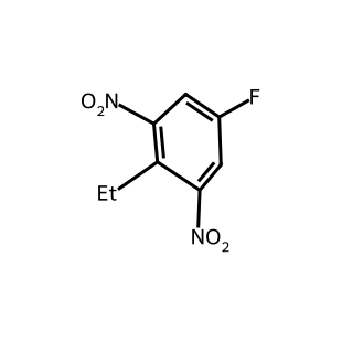 CCc1c([N+](=O)[O-])cc(F)cc1[N+](=O)[O-]